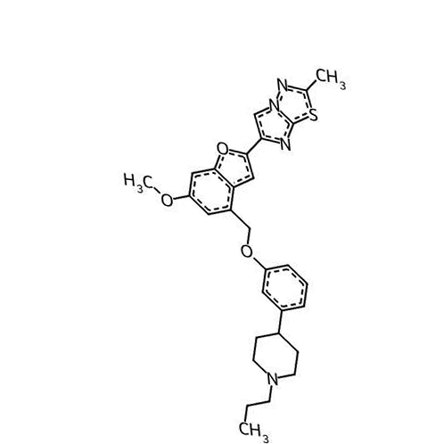 CCCN1CCC(c2cccc(OCc3cc(OC)cc4oc(-c5cn6nc(C)sc6n5)cc34)c2)CC1